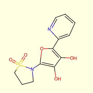 O=S1(=O)CCCN1c1oc(-c2ccccn2)c(O)c1O